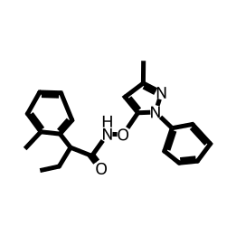 CCC(C(=O)NOc1cc(C)nn1-c1ccccc1)c1ccccc1C